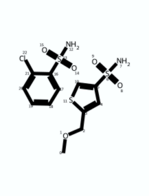 COCc1cc(S(N)(=O)=O)cs1.NS(=O)(=O)c1ccccc1Cl